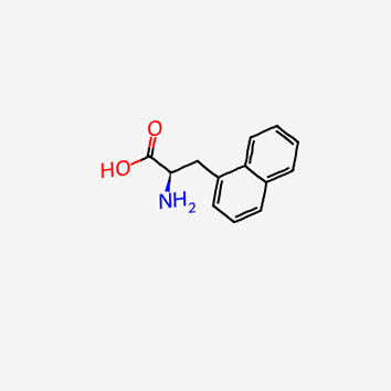 N[C@H](Cc1cccc2ccccc12)C(=O)O